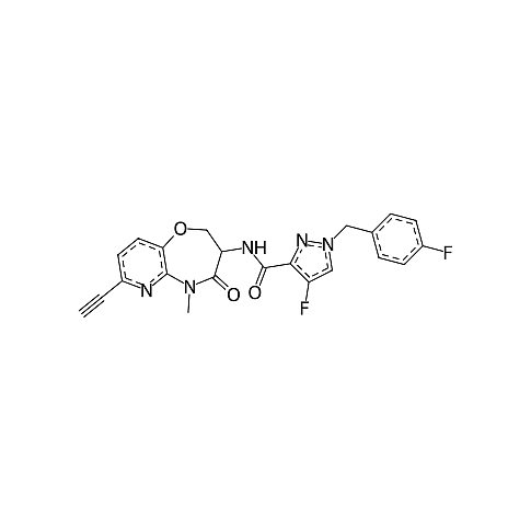 C#Cc1ccc2c(n1)N(C)C(=O)C(NC(=O)c1nn(Cc3ccc(F)cc3)cc1F)CO2